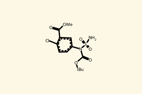 COC(=O)c1cc(N(C(=O)OC(C)(C)C)S(N)(=O)=O)ccc1Cl